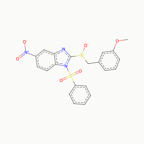 COc1cccc(C[S+]([O-])c2nc3cc([N+](=O)[O-])ccc3n2S(=O)(=O)c2ccccc2)c1